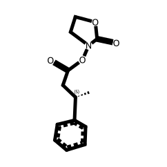 C[C@@H](CC(=O)ON1CCOC1=O)c1ccccc1